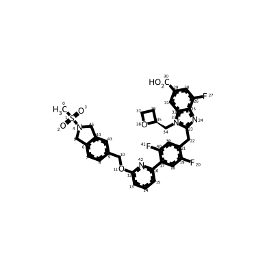 CS(=O)(=O)N1Cc2ccc(COc3cccc(-c4cc(F)c(Cc5nc6c(F)cc(C(=O)O)cc6n5C[C@@H]5CCO5)cc4F)n3)cc2C1